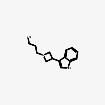 N#CCCCN1CC(c2c[nH]c3ccccc23)C1